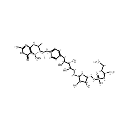 C[C@@H]1Nc2nc(N)[nH]c(=O)c2N(C=O)[C@H]1[C@@H](C)Nc1ccc(C[C@H](O)[C@H](O)[C@H](O)CO[C@H]2O[C@H](COP(=O)(O)O[C@@H](CCC(=O)O)C(=O)O)[C@@H](O)[C@H]2O)cc1